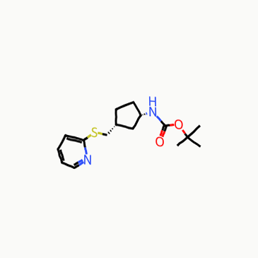 CC(C)(C)OC(=O)N[C@H]1CC[C@@H](CSc2ccccn2)C1